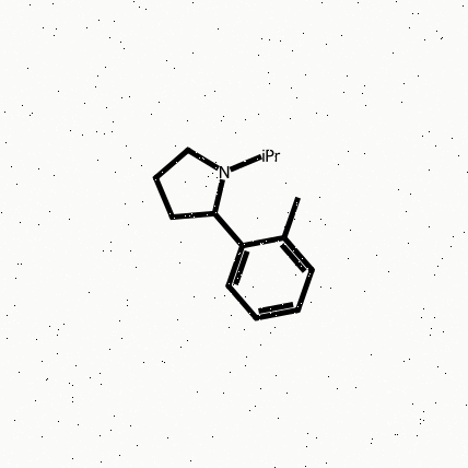 Cc1ccccc1C1CCCN1C(C)C